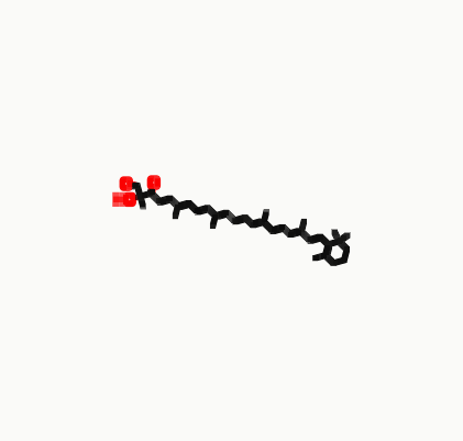 CC1=C(/C=C/C(C)=C/C=C/C(C)=C/C=C/C=C(C)/C=C/C=C(C)/C=C/C(=O)C(C)(O)C=O)C(C)(C)CCC1